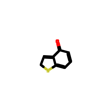 O=C1C=CC=C2SCC=C12